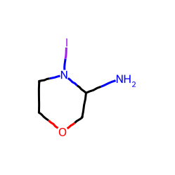 NC1COCCN1I